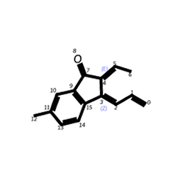 C=C/C=C1\C(=C/C)C(=O)c2cc(C)ccc21